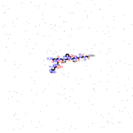 CNC(=O)CNC(=O)CNC(=O)CNC(=O)[C@H](CC(C)C)NC(=O)[C@@H]1CCCN1C(=O)[C@H](CC(C)C)NC(=O)CNC(=O)[C@H](CC(N)=O)NC(=O)[C@H](CO)NC(=O)[C@@H](N)Cc1cnc[nH]1